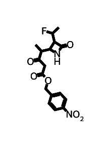 CC(F)C1C(=O)NC1C(C)C(=O)CC(=O)OCc1ccc([N+](=O)[O-])cc1